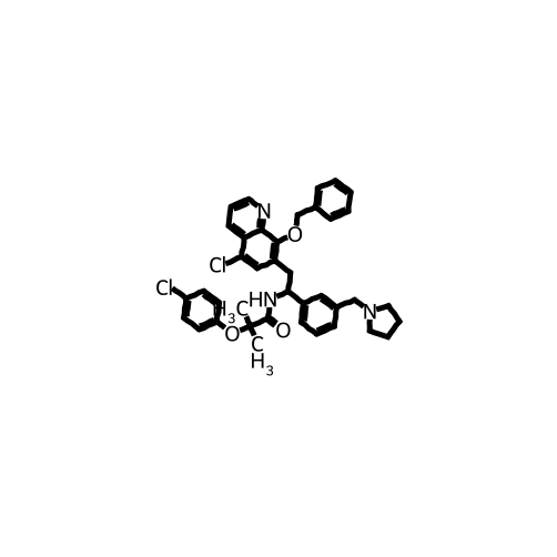 CC(C)(Oc1ccc(Cl)cc1)C(=O)NC(Cc1cc(Cl)c2cccnc2c1OCc1ccccc1)c1cccc(CN2CCCC2)c1